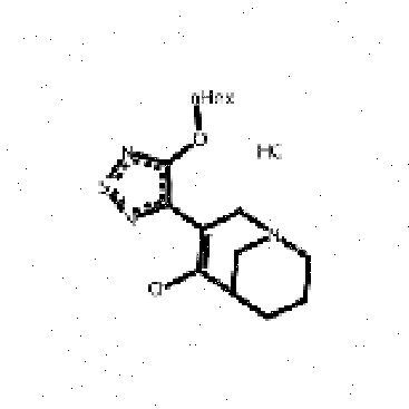 CCCCCCOc1nsnc1C1=C(Cl)C2CCCN(C1)C2.Cl